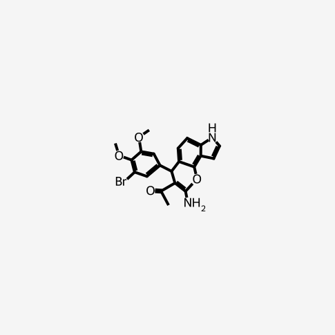 COc1cc(C2C(C(C)=O)=C(N)Oc3c2ccc2[nH]ccc32)cc(Br)c1OC